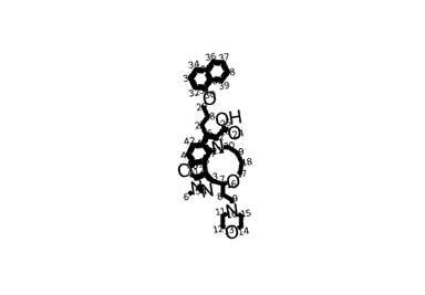 Cc1c2c(nn1C)C(CCN1CCOCC1)OCCCCn1c(C(=O)O)c(CCCOc3cccc4ccccc34)c3ccc(Cl)c-2c31